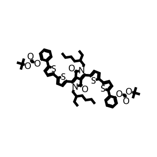 CCCCC(CC)CN1C(=O)C2=C(c3ccc(-c4ccc(-c5ccccc5OC(=O)OC(C)(C)C)s4)s3)N(CC(CC)CCCC)C(=O)C2=C1c1ccc(-c2ccc(-c3ccccc3OC(=O)OC(C)(C)C)s2)s1